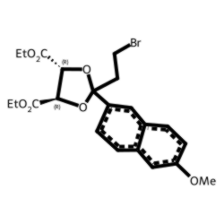 CCOC(=O)[C@@H]1OC(CCBr)(c2ccc3cc(OC)ccc3c2)O[C@H]1C(=O)OCC